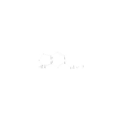 CCCCCc1ccc2c(c1)NCC2